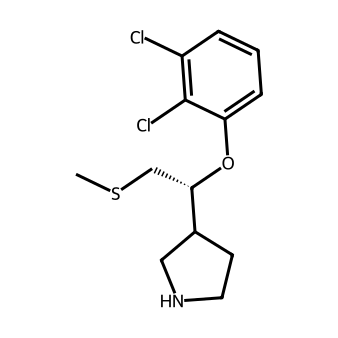 CSC[C@H](Oc1cccc(Cl)c1Cl)C1CCNC1